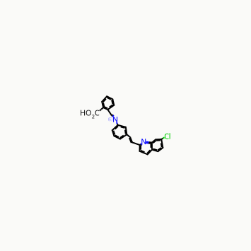 O=C(O)c1ccccc1/C=N/c1cccc(C=Cc2ccc3ccc(Cl)cc3n2)c1